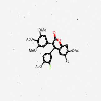 CCc1cc2c(-c3ccc(OC(C)=O)c(F)c3)c(-c3cc(OC)c(OC(C)=O)c(OC)c3)c(=O)oc2cc1OC(C)=O